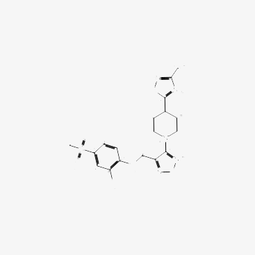 CC(C)c1noc(C2CCN(c3nsnc3COc3ccc(S(C)(=O)=O)cc3F)CC2)n1